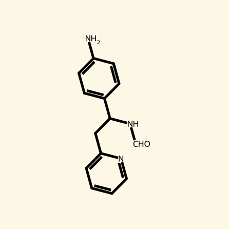 Nc1ccc(C(Cc2ccccn2)NC=O)cc1